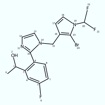 CC(O)c1cc(F)ccc1-c1nccn1Cc1ccn(C(F)F)c1Br